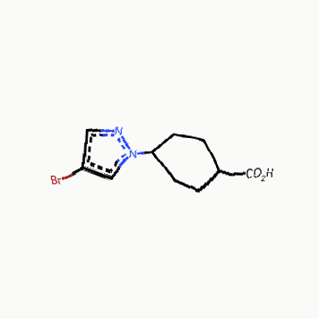 O=C(O)C1CCC(n2cc(Br)cn2)CC1